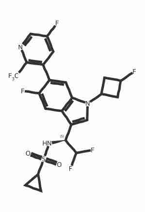 O=S(=O)(N[C@@H](c1cn(C2CC(F)C2)c2cc(-c3cc(F)cnc3C(F)(F)F)c(F)cc12)C(F)F)C1CC1